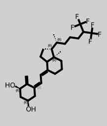 C=C1/C(=C\C=C2CCC[C@@]3(C)C2CC[C@@H]3[C@H](C)CCCC(C(F)(F)F)C(F)(F)F)C[C@@H](O)C[C@H]1O